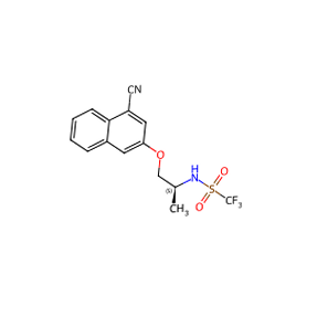 C[C@@H](COc1cc(C#N)c2ccccc2c1)NS(=O)(=O)C(F)(F)F